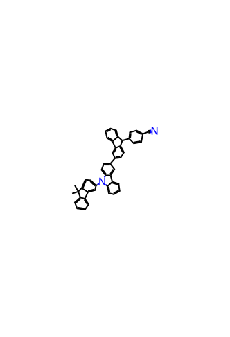 CC1(C)c2ccccc2-c2cc(-n3c4ccccc4c4cc(-c5ccc6c(c5)-c5ccccc5C6c5ccc(C#N)cc5)ccc43)ccc21